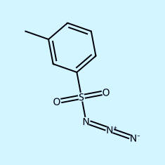 Cc1cccc(S(=O)(=O)N=[N+]=[N-])c1